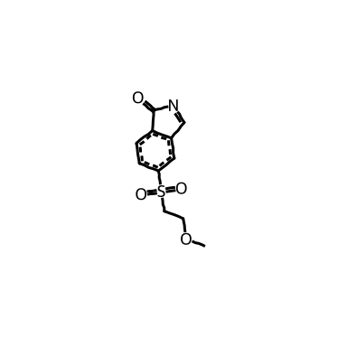 COCCS(=O)(=O)c1ccc2c(c1)C=NC2=O